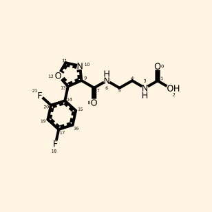 O=C(O)NCCNC(=O)c1ncoc1-c1ccc(F)cc1F